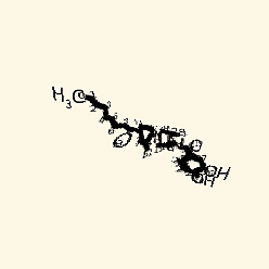 CCCCCCCCC(=O)c1ccc(N2CCN(C(=O)c3ccc(O)c(O)c3)CC2)c(F)c1